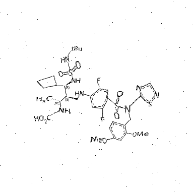 COc1ccc(CN(c2ncns2)S(=O)(=O)c2cc(F)c(NC[C@H]([C@H](NS(=O)(=O)NC(C)(C)C)C3CCC3)[C@@H](C)NC(=O)O)cc2F)c(OC)c1